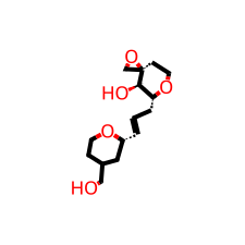 OCC1CCO[C@H](/C=C/C[C@H]2OCC[C@@]3(CO3)[C@@H]2O)C1